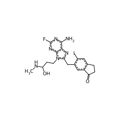 CNC(O)CCn1c(Cc2cc3c(cc2I)CCC3=O)nc2c(N)nc(F)nc21